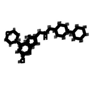 Clc1nc(N2CCOCC2)c2sc(CNCC3CCN(C4CCCCC4)CC3)cc2n1